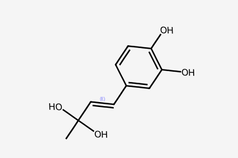 CC(O)(O)/C=C/c1ccc(O)c(O)c1